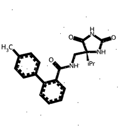 Cc1ccc(-c2ccccc2C(=O)NC[C@@]2(C(C)C)NC(=O)NC2=O)cc1